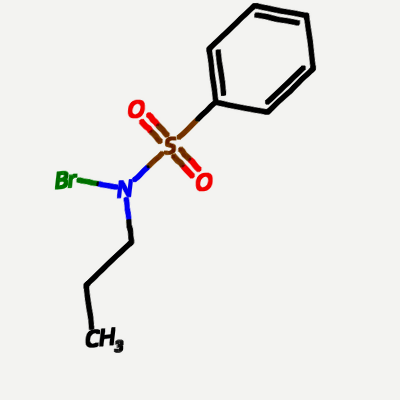 CCCN(Br)S(=O)(=O)c1ccccc1